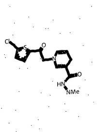 CNNC(=O)C1=CN(CC(=O)c2ccc(Cl)s2)C=CC1